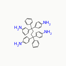 Nc1ccc(C(CCC(c2ccccc2)(c2ccc(N)cc2)c2cccc(N)c2)(c2ccccc2)c2ccc(N)cc2)cc1